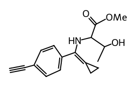 C#Cc1ccc(C(NC(C(=O)OC)C(C)O)=C2CC2)cc1